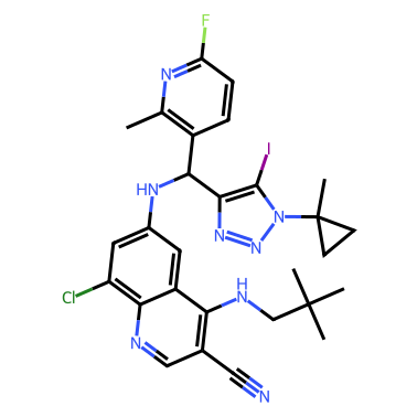 Cc1nc(F)ccc1C(Nc1cc(Cl)c2ncc(C#N)c(NCC(C)(C)C)c2c1)c1nnn(C2(C)CC2)c1I